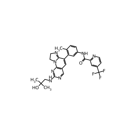 Cc1ccc(NC(=O)c2cc(C(F)(F)F)ccn2)cc1C1=Cc2cnc(NCC(C)(C)O)nc2N2CCN=C12